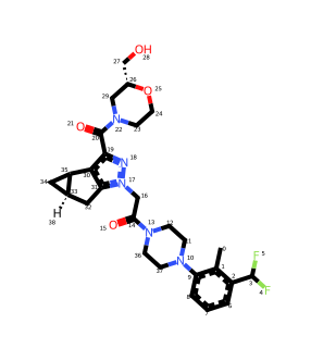 Cc1c(C(F)F)cccc1N1CCN(C(=O)Cn2nc(C(=O)N3CCO[C@@H](CO)C3)c3c2C[C@H]2CC32)CC1